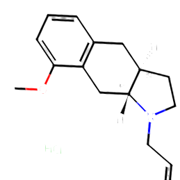 C=CCN1CC[C@@H]2Cc3cccc(OC)c3C[C@H]21.Cl